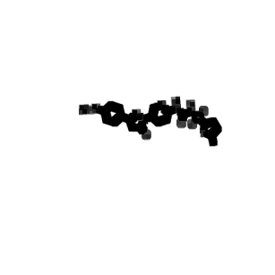 CNc1ccc(C2=NN(c3ccc(NC(=O)NS(=O)(=O)c4ccc(C)s4)nc3)C(=O)C2)cc1